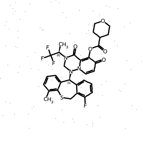 Cc1cccc2c1SCc1c(F)cccc1[C@@H]2N1CN([C@H](C)C(F)(F)F)C(=O)c2c(OC(=O)C3CCOCC3)c(=O)ccn21